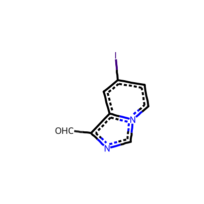 O=Cc1ncn2ccc(I)cc12